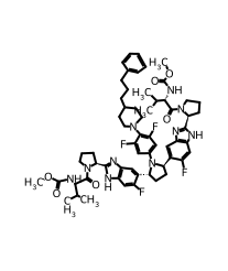 COC(=O)N[C@H](C(=O)N1CCC[C@H]1c1nc2cc([C@H]3CC[C@H](c4cc5nc([C@@H]6CCCN6C(=O)[C@@H](NC(=O)OC)C(C)C)[nH]c5cc4F)N3c3cc(F)c(N4CCC(CCCc5ccccc5)CC4)c(F)c3)c(F)cc2[nH]1)C(C)C